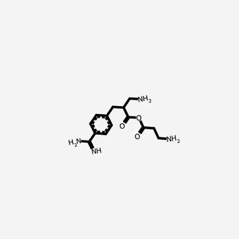 N=C(N)c1ccc(CC(CN)C(=O)OC(=O)CCN)cc1